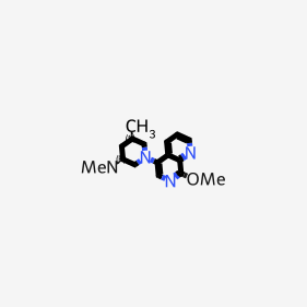 CN[C@@H]1C[C@H](C)CN(c2cnc(OC)c3ncccc23)C1